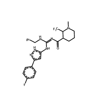 CC(C)CN/C(=N/C(=O)C1CCCN(C)C1C(F)(F)F)Nc1cc(-c2ccc(F)cc2)n[nH]1